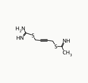 CC(=N)SCC#CCSC(=N)N